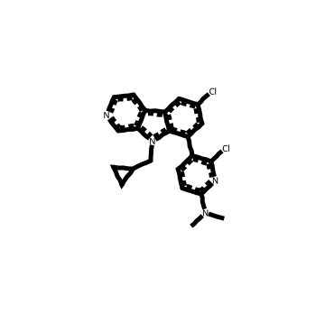 CN(C)c1ccc(-c2cc(Cl)cc3c4ccncc4n(CC4CC4)c23)c(Cl)n1